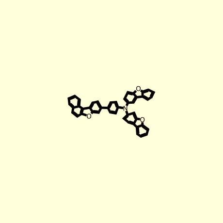 c1ccc2c(c1)ccc1oc3cc(-c4ccc(N(c5ccc6c(c5)oc5ccccc56)c5ccc6oc7ccccc7c6c5)cc4)ccc3c12